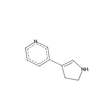 [c]1cncc(C2=CNCC2)c1